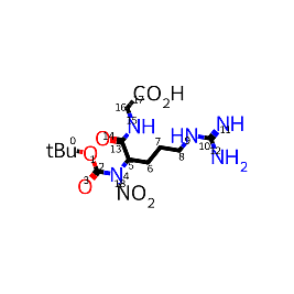 CC(C)(C)OC(=O)N(C(CCCNC(=N)N)C(=O)NCC(=O)O)[N+](=O)[O-]